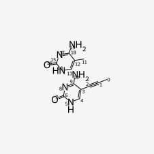 CC#Cc1c[nH]c(=O)nc1N.Cc1c[nH]c(=O)nc1N